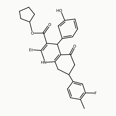 CCC1=C(C(=O)OC2CCCC2)C(c2cccc(O)c2)C2=C(CC(c3ccc(C)c(F)c3)CC2=O)N1